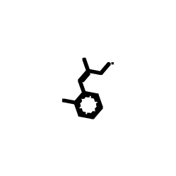 [CH2]CC(C)=Cc1ccccc1C